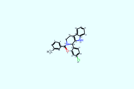 Cc1cccc(C(=O)N2CCc3c([nH]c4ccccc34)C2c2ccc(Cl)cc2)c1